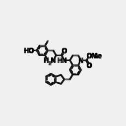 COC(=O)N1CCC(NC(=O)C(N)Cc2c(C)cc(O)cc2C)c2cc(CC3Cc4ccccc4C3)ccc21